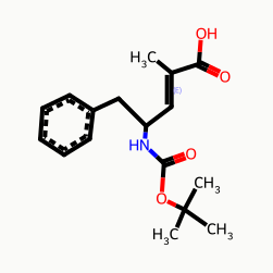 C/C(=C\C(Cc1ccccc1)NC(=O)OC(C)(C)C)C(=O)O